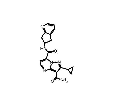 NC(=O)c1c(C2CC2)nn2c(C(=O)NC3Cc4cccnc4C3)ccnc12